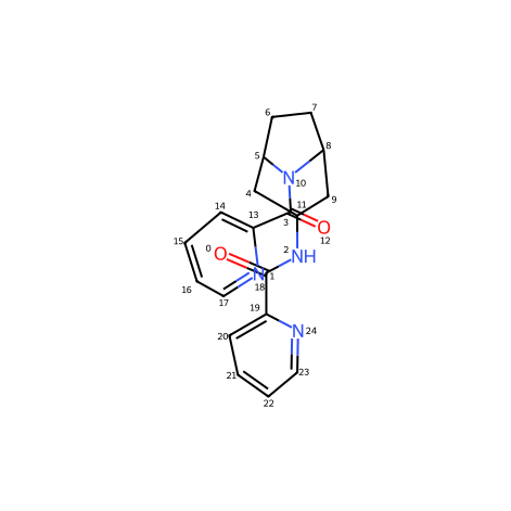 O=C(NC1CC2CCC(C1)N2C(=O)c1ccccn1)c1ccccn1